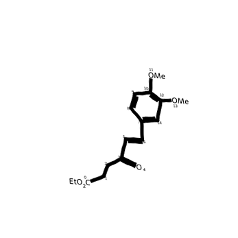 CCOC(=O)CCC(=O)/C=C/c1ccc(OC)c(OC)c1